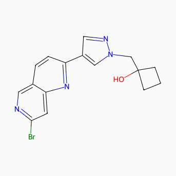 OC1(Cn2cc(-c3ccc4cnc(Br)cc4n3)cn2)CCC1